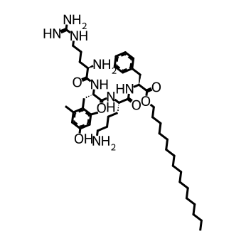 CCCCCCCCCCCCCCCCOC(=O)[C@H](Cc1ccccc1)NC(=O)[C@H](CCCCN)NC(=O)[C@H](Cc1c(C)cc(O)cc1C)NC(=O)[C@H](N)CCCNC(=N)N